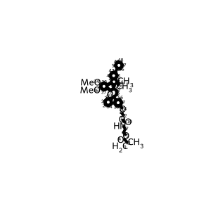 C=C(C)C(=O)OCCNC(=O)OCCOc1ccc(C2(c3ccccc3)C=Cc3c4c(c5cc(OC)c(OC)cc5c3O2)-c2ccc(-c3ccccc3)cc2C4(C)C)cc1